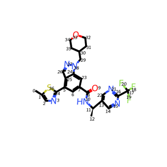 Cc1cnc(-c2cc(C(=O)N[C@H](C)c3cnc(C(F)(F)F)nc3)cc3c2cnn3CC2CCOCC2)s1